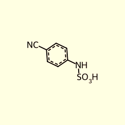 N#Cc1ccc(NS(=O)(=O)O)cc1